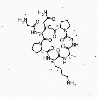 C[C@H](NC(=O)[C@H](CCCCN)NC(=O)[C@@H]1CCCN1C(=O)[C@H](CCC(N)=O)NC(=O)CN)C(=O)N[C@@H](C)C(=O)N1CCC[C@H]1C(=O)O